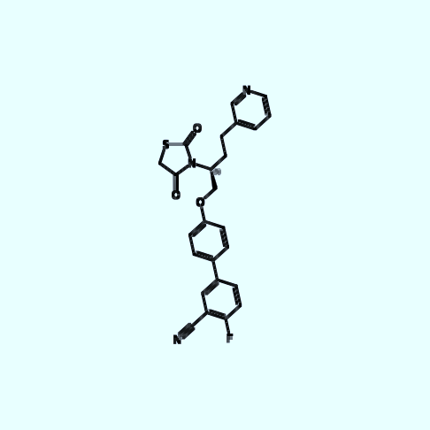 N#Cc1cc(-c2ccc(OC[C@H](CCc3cccnc3)N3C(=O)CSC3=O)cc2)ccc1F